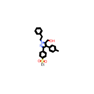 CCS(=O)(=O)c1ccc(-c2nn(CCc3ccccc3)c(CO)c2-c2ccc(C)cc2)cc1